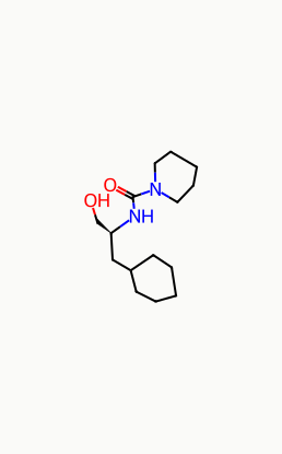 O=C(N[C@H](CO)CC1CCCCC1)N1CCCCC1